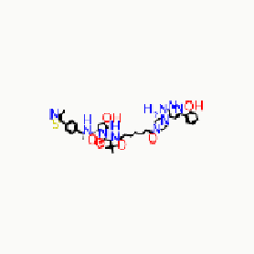 Cc1ncsc1-c1ccc([C@H](C)NC(=O)[C@@H]2C[C@@H](O)CN2C(=O)[C@@H](NC(=O)CCCCCC(=O)N2CCN(c3cc(-c4ccccc4O)nnc3N)CC2)C(C)(C)C)cc1